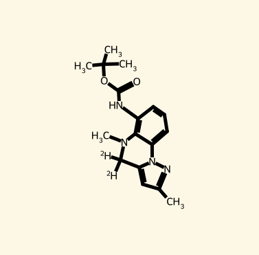 [2H]C1([2H])c2cc(C)nn2-c2cccc(NC(=O)OC(C)(C)C)c2N1C